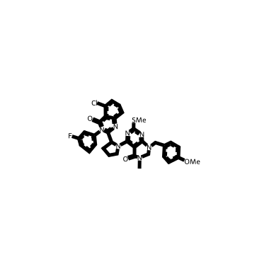 COc1ccc(CN2CN(C)C(=O)c3c2nc(SC)nc3N2CCCC2c2nc3cccc(Cl)c3c(=O)n2-c2cccc(F)c2)cc1